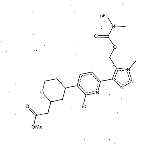 CCCN(C)C(=O)OCc1c(-c2ccc(C3CCOC(CC(=O)OC)C3)c(CC)n2)nnn1C